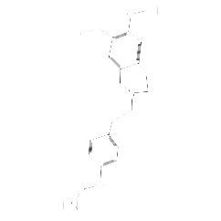 COc1cc2c(cc1OC)CN(CCc1ccc(OON)cc1)CC2